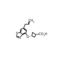 C=CCc1cc(O[C@H]2C[C@H](C(=O)O)C2)c2ncsc2c1